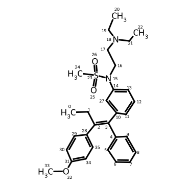 CCC(=C(c1ccccc1)c1cccc(N(CCN(CC)CC)S(C)(=O)=O)c1)c1ccc(OC)cc1